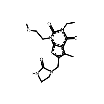 CCn1c(=O)c2c(C)c(CN3CCNC3=O)sc2n(CCOC)c1=O